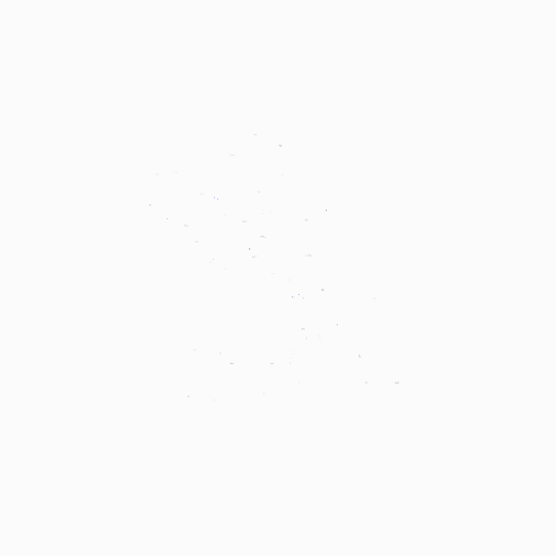 c1ccc(-c2ccccc2-c2ccccc2N(c2ccc(-c3cccc4ccccc34)cc2)c2ccc3c(c2)-c2ccccc2C32c3ccccc3-n3c4ccccc4c4cccc2c43)cc1